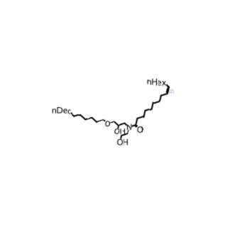 CCCCCC/C=C\CCCCCCCC(=O)N(CCO)CC(O)COCCCCCCCCCCCCCCCC